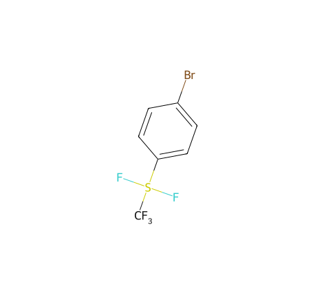 FC(F)(F)S(F)(F)c1ccc(Br)cc1